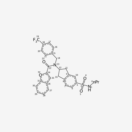 CCCNS(=O)(=O)c1ccc2c(c1)CC(N(Cc1ccc(C(F)(F)F)cc1)C(=O)c1cc3ccccc3o1)C2